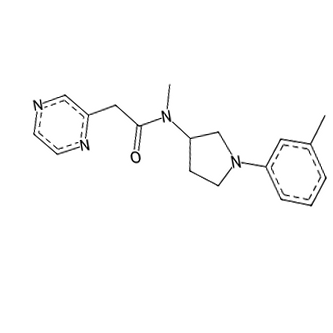 Cc1cccc(N2CCC(N(C)C(=O)Cc3cnccn3)C2)c1